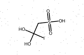 O=S(=O)(O)CC(O)(O)I